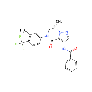 Cc1cc(N2C[C@H](C)n3ncc(NC(=O)c4ccccc4)c3C2=O)ccc1C(F)(F)F